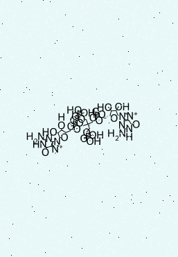 C[n+]1cn([C@@H]2O[C@H](COP(=O)([O-])OCC(COP(=O)(O)O)(COP(=O)(O)O)COP(=O)([O-])OCC3O[C@@H](n4c[n+](C)c5c(=O)[nH]c(N)nc54)[C@H](O)[C@@H]3O)[C@@H](O)[C@H]2O)c2nc(N)[nH]c(=O)c21